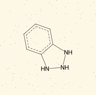 c1ccc2c(c1)NNN2